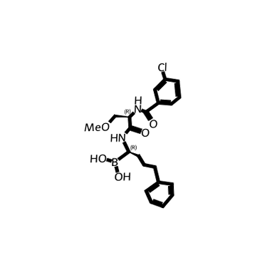 COC[C@@H](NC(=O)c1cccc(Cl)c1)C(=O)N[C@@H](CCCc1ccccc1)B(O)O